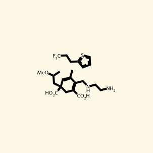 COC(C)CC1(C(=O)O)C=C(C)C(CNCCN)=C(C(=O)O)C1.FC(F)(F)CCc1cccs1